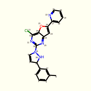 Cc1cccc(C2C=CN(c3nc(Cl)c4oc(-c5ccccn5)cc4n3)N2)c1